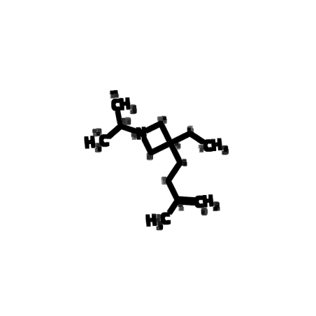 C=C(C)CCC1(CC)CN(C(C)C)C1